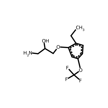 CCc1ccc(OC(F)(F)F)cc1OCC(O)CN